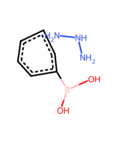 NNN.OB(O)c1ccccc1